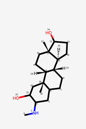 CNC1CC2CC[C@@H]3[C@@H](CC[C@]4(C)C(O)CC[C@@H]34)[C@@]2(C)CC1O